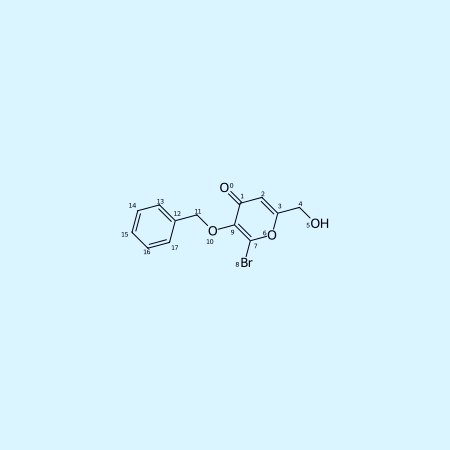 O=c1cc(CO)oc(Br)c1OCc1ccccc1